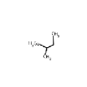 CC[CH](C)[GeH3]